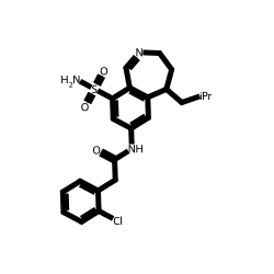 CC(C)CC1CCN=Cc2c1cc(NC(=O)Cc1ccccc1Cl)cc2S(N)(=O)=O